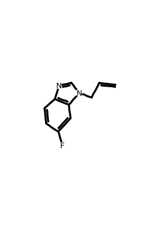 C=CCn1cnc2ccc(F)cc21